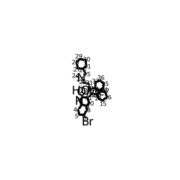 COc1nc2ccc(Br)cc2cc1C(c1ccccc1)C(O)(CCN(C)Cc1ccccc1)c1ccccc1